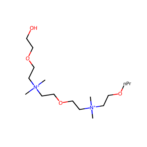 CCCOCC[N+](C)(C)CCOCC[N+](C)(C)CCOCCO